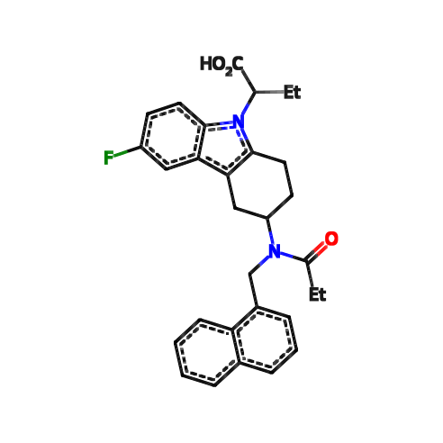 CCC(=O)N(Cc1cccc2ccccc12)C1CCc2c(c3cc(F)ccc3n2C(CC)C(=O)O)C1